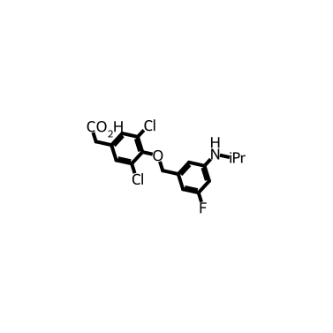 CC(C)Nc1cc(F)cc(COc2c(Cl)cc(CC(=O)O)cc2Cl)c1